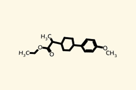 CCOC(=O)C(C)C1CCC(c2ccc(OC)cc2)CC1